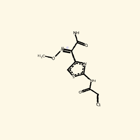 CO/N=C(/C([NH])=O)c1csc(NC(=O)CCl)n1